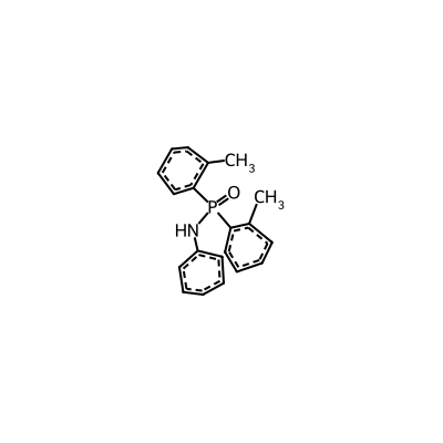 Cc1ccccc1P(=O)(Nc1ccccc1)c1ccccc1C